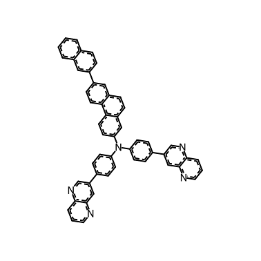 c1ccc2cc(-c3ccc4c(ccc5cc(N(c6ccc(-c7cnc8cccnc8c7)cc6)c6ccc(-c7cnc8cccnc8c7)cc6)ccc54)c3)ccc2c1